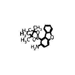 CC1(C)OB(c2c(N)ccc3oc4ccccc4c23)OC1(C)C